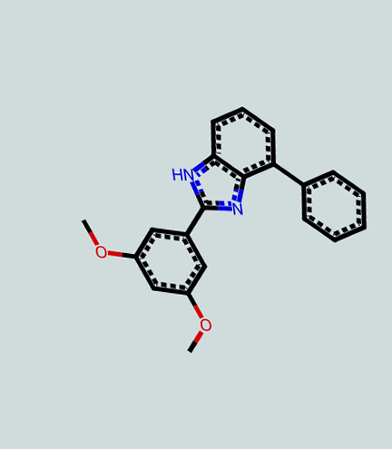 COc1cc(OC)cc(-c2nc3c(-c4ccccc4)cccc3[nH]2)c1